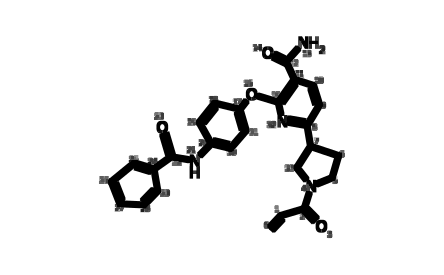 C=CC(=O)N1CCC(c2ccc(C(N)=O)c(Oc3ccc(NC(=O)c4ccccc4)cc3)n2)C1